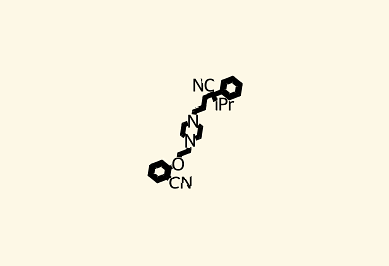 CC(C)C(C#N)(CCCN1CCN(CCOc2ccccc2C#N)CC1)c1ccccc1